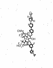 COC(=O)NC(C(=O)NC(Cc1ccc(-c2ccc(N3C[C@H]4C[C@@H]3CN4C3COC3)nc2)cc1)C(O)CN(Cc1c(F)cc(-c2ccn(C3CC3)n2)cc1F)NC(=O)C(NC(=O)O)C(C)(C)C(F)(F)F)C(C)(C)C(F)(F)F